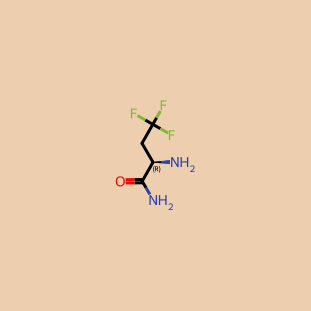 NC(=O)[C@H](N)CC(F)(F)F